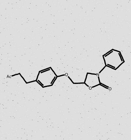 CC(=O)CCc1ccc(OCC2CN(c3ccccc3)C(=O)O2)cc1